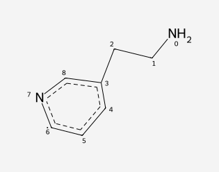 NCCc1cc[c]nc1